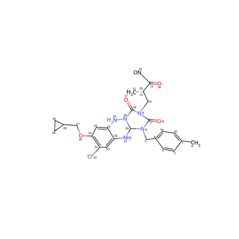 Cc1ccc(CN2C(=O)N(C[C@H](C)C(=O)N=O)C(=O)N(N)C2Nc2ccc(OCC3CC3)c(Cl)c2)cc1